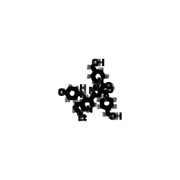 CCn1ncc2c(NC3CCC(=O)CC3)c(C3=NOC(C(=O)N4CCC(CO)CC4)(C(=O)N4CCC(CO)CC4)C3)cnc21